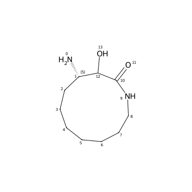 N[C@H]1CCCCCCCNC(=O)C1O